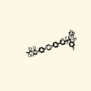 CCC(C(C)O)n1ccn(-c2ccc(N3CCN(c4ccc(-c5ccc(C(F)(F)[C@](O)(Cn6cnnn6)c6ccc(F)cc6F)nc5)cc4)CC3)cc2)c1=O